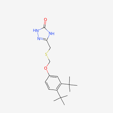 CC(C)(C)c1ccc(OCSCc2n[nH]c(=O)[nH]2)cc1C(C)(C)C